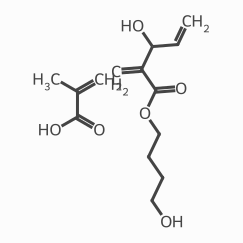 C=C(C)C(=O)O.C=CC(O)C(=C)C(=O)OCCCCO